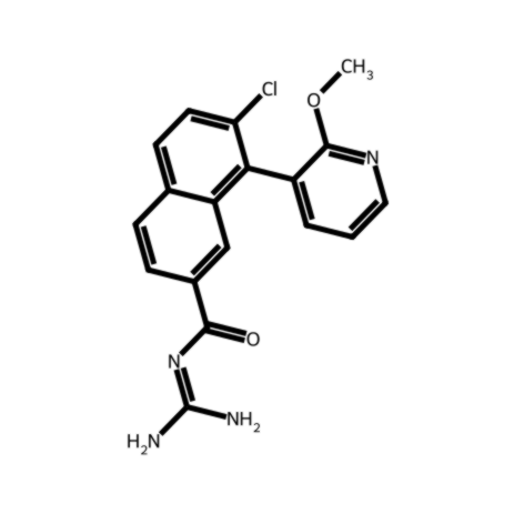 COc1ncccc1-c1c(Cl)ccc2ccc(C(=O)N=C(N)N)cc12